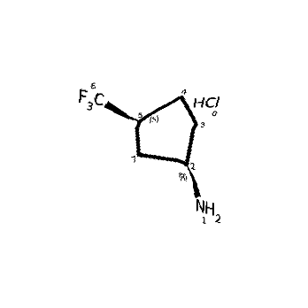 Cl.N[C@@H]1CC[C@H](C(F)(F)F)C1